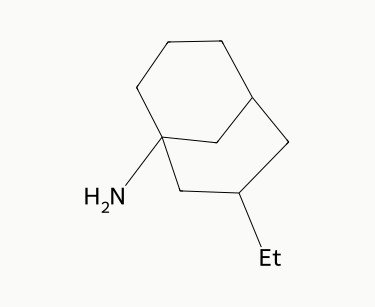 CCC1CC2CCCC(N)(C1)C2